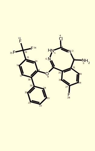 NC1/N=C(/Cl)N/N=C(/Oc2cc(C(F)(F)F)ccc2-c2ccccc2)c2cc(F)ccc21